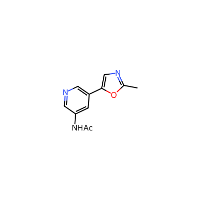 CC(=O)Nc1cncc(-c2cnc(C)o2)c1